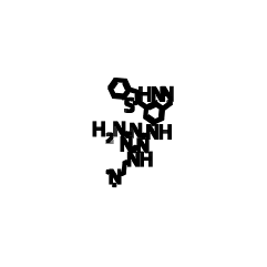 CN(C)CCNc1nc(N)nc(Nc2cc(-c3cc4ccccc4s3)c3[nH]ncc3c2)n1